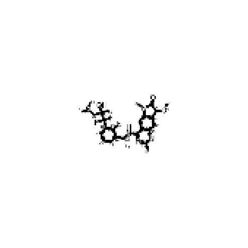 COC1C(=O)N(C)c2cc3c(N[C@H](C)c4cccc(C(F)(F)C(C)(O)CN(C)C)c4F)nc(C)nc3cc21